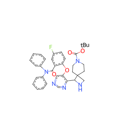 CC(C)(C)OC(=O)N1CCC2(CC1)CNC2c1ncncc1Oc1ccc(F)cc1C(=O)N(c1ccccc1)c1ccccc1